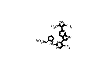 Cc1noc(C)c1-c1ccc2c(-c3nc(N[C@@H]4CCC[C@@H]4CS(=O)(=O)O)ncc3C(F)(F)F)c[nH]c2n1